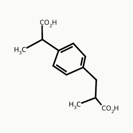 CC(Cc1ccc(C(C)C(=O)O)cc1)C(=O)O